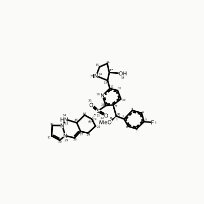 CO[C@H](c1ccc(F)cc1)c1ccc(C2NCCC2O)nc1S(=O)(=O)[C@@H]1CCC2=CN3C=CCN3NC2C1